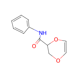 O=C(Nc1ccccc1)C1COC=CO1